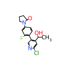 CC(O)c1cc(Cl)ncc1-c1ccc(N2CCCC2=O)cc1F